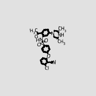 CC(=O)c1ccc(N2C[C@@H](C)N[C@@H](C)C2)cc1NS(=O)(=O)c1ccc(Oc2cccc(Cl)c2C#N)cc1